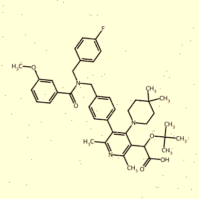 COc1cccc(C(=O)N(Cc2ccc(F)cc2)Cc2ccc(-c3c(C)nc(C)c(C(OC(C)(C)C)C(=O)O)c3N3CCC(C)(C)CC3)cc2)c1